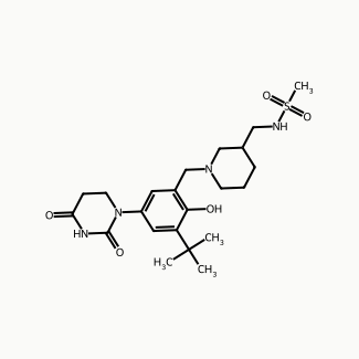 CC(C)(C)c1cc(N2CCC(=O)NC2=O)cc(CN2CCCC(CNS(C)(=O)=O)C2)c1O